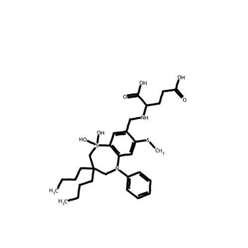 CCCCC1(CCCC)CN(c2ccccc2)c2cc(SC)c(CNC(CCC(=O)O)C(=O)O)cc2S(O)(O)C1